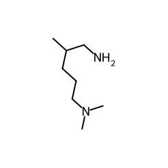 CC(CN)CCCN(C)C